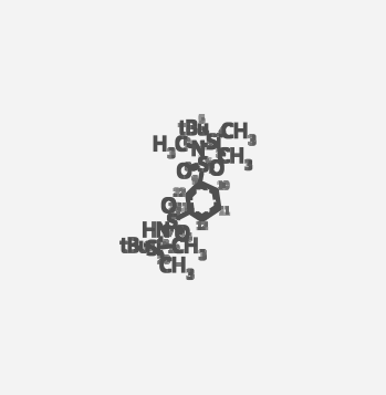 CN([Si](C)(C)C(C)(C)C)S(=O)(=O)c1cccc(S(=O)(=O)N[Si](C)(C)C(C)(C)C)c1